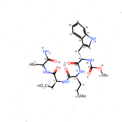 CCCCC(NC(=O)[C@H](CC(=O)O)NC(=O)[C@H](CCSC)NC(=O)[C@H](Cc1c[nH]c2ccccc12)NC(=O)OC(C)(C)C)C(N)=O